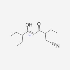 CCC(CC#N)C(=O)/C=C(\O)C(CC)CC